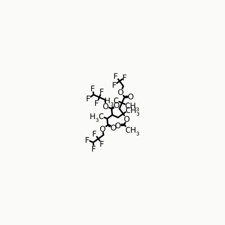 CC(=O)OC(C)(CC(C(=O)OCC(F)(F)C(F)F)C(C)C(=O)OCC(F)(F)C(F)F)CC(C)(C)C(=O)OCC(F)(F)F